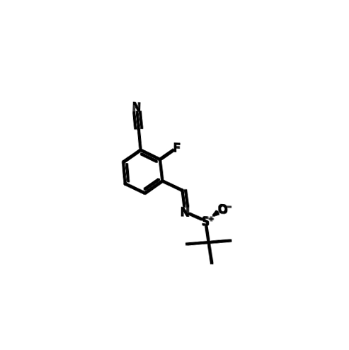 CC(C)(C)[S@+]([O-])/N=C/c1cccc(C#N)c1F